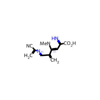 C=C(C#N)/N=C/C(=C)/C(=C/C(=N)C(=O)O)NC